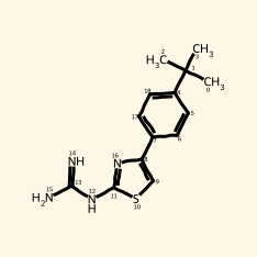 CC(C)(C)c1ccc(-c2csc(NC(=N)N)n2)cc1